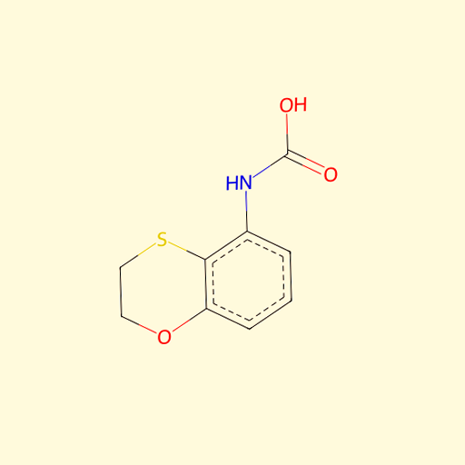 O=C(O)Nc1cccc2c1SCCO2